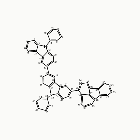 c1ccc(-n2c3ccccc3c3cc(-c4ccc5c(c4)c4cc(-c6ncc7c8c(cccc68)-c6ccncc6-7)ccc4n5-c4ccccc4)ccc32)cc1